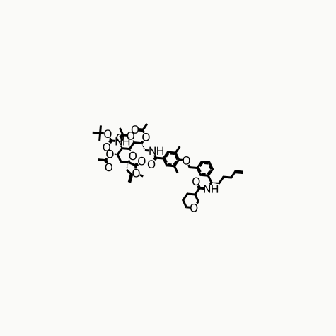 C=CCCC[C@@H](NC(=O)C1CCCOC1)c1cccc(COc2c(C)cc(C(=O)NC[C@@H](OC(C)=O)[C@@H](OC(C)=O)[C@@H]3O[C@@](CC=C)(C(=O)OC)C[C@H](OC(C)=O)[C@H]3NC(=O)OC(C)(C)C)cc2C)c1